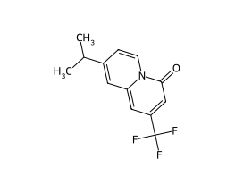 CC(C)c1ccn2c(=O)cc(C(F)(F)F)cc2c1